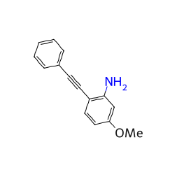 COc1ccc(C#Cc2ccccc2)c(N)c1